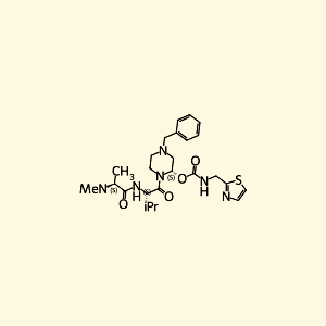 CN[C@@H](C)C(=O)N[C@H](C(=O)N1CCN(Cc2ccccc2)C[C@@H]1OC(=O)NCc1nccs1)C(C)C